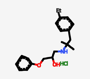 CCc1ccc(CC(C)(C)NCC(O)COc2ccccc2)cc1.Cl